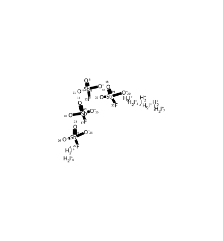 [IH2+].[IH2+].[IH2+].[IH2+].[IH2+].[IH2+].[IH2+].[IH2+].[O]=[Sb]([O-])([O-])[F].[O]=[Sb]([O-])([O-])[F].[O]=[Sb]([O-])([O-])[F].[O]=[Sb]([O-])([O-])[F]